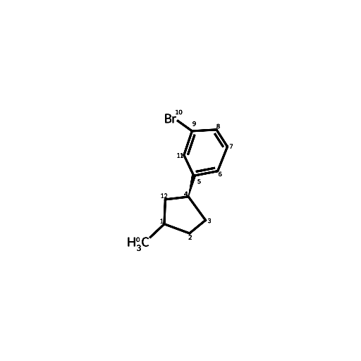 CC1CC[C@H](c2cccc(Br)c2)C1